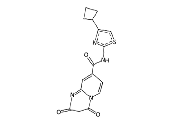 O=C1CC(=O)N2C=CC(C(=O)Nc3nc(C4CCC4)cs3)=CC2=N1